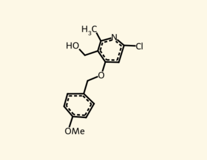 COc1ccc(COc2cc(Cl)nc(C)c2CO)cc1